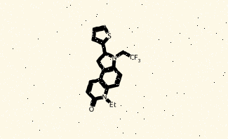 CCn1c(=O)ccc2c3c(ccc21)N(CC(F)(F)F)C(c1cccs1)C3